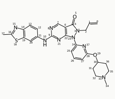 C=CCn1c(=O)c2cnc(Nc3ccc4nc(C)sc4c3)nc2n1-c1cccc(OC2CCN(C)CC2)n1